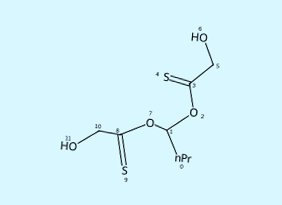 CCCC(OC(=S)CO)OC(=S)CO